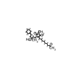 CC(=O)CCCCCCCC1C(=O)N(C)C(=O)N1CCC(C)(O)CCC1CCCCC1